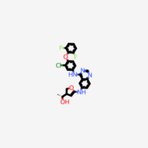 C[C@@H](O)C1C=C(Nc2ccc3ncnc(Nc4ccc(Oc5c(F)cccc5F)c(Cl)c4)c3c2)OC1